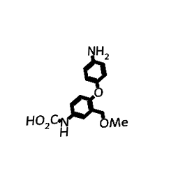 COCc1cc(NC(=O)O)ccc1Oc1ccc(N)cc1